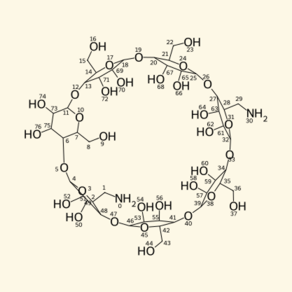 NCC1OC2OC3C(CO)OC(OC4C(CO)OC(OC5C(CO)OC(OC6C(CN)OC(OC7C(CO)OC(OC8C(CO)OC(OC1C(O)C2O)C(O)C8O)C(O)C7O)C(O)C6O)C(O)C5O)C(O)C4O)C(O)C3O